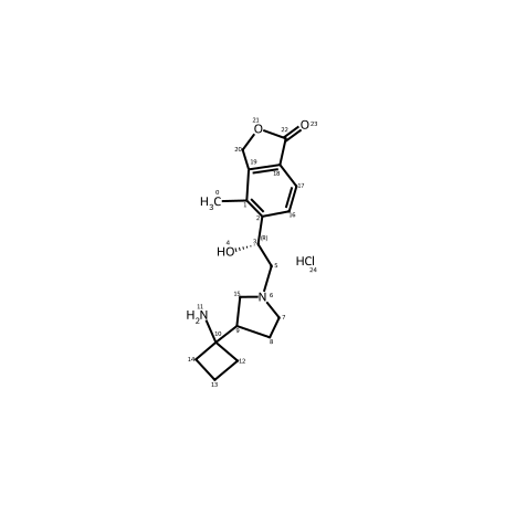 Cc1c([C@@H](O)CN2CCC(C3(N)CCC3)C2)ccc2c1COC2=O.Cl